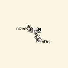 CCCCCCCCCCCCc1cc(-c2sc(-c3cc(CCCCCCCCCCCC)c(Br)s3)c3snnc23)sc1Br